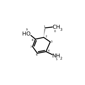 CC[C@@H]1CC(N)=CC=C1O